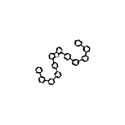 c1ccc(-c2cccc(-c3cccc(-c4cccc(-c5ccc(-c6cccc7c6oc6c(-c8ccc(-c9cccc(-c%10cccc(-c%11cccc(-c%12ccccc%12)c%11)c%10)c9)cc8)cccc67)cc5)c4)c3)c2)cc1